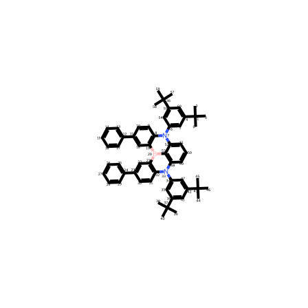 CC(C)(C)c1cc(N2c3ccc(-c4ccccc4)cc3B3c4cc(-c5ccccc5)ccc4N(c4cc(C(C)(C)C)cc(C(C)(C)C)c4)c4cccc2c43)cc(C(C)(C)C)c1